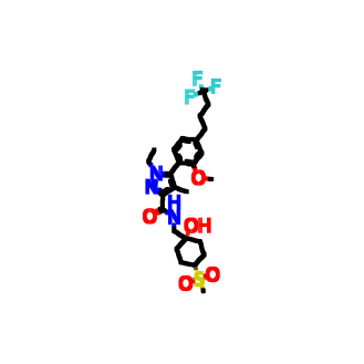 CCn1nc(C(=O)NC[C@]2(O)CC[C@@H](S(C)(=O)=O)CC2)c(C)c1-c1ccc(CCCC(F)(F)F)cc1OC